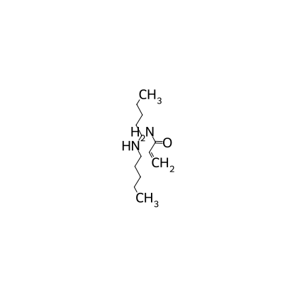 C=CC(N)=O.CCCCCNCCCCC